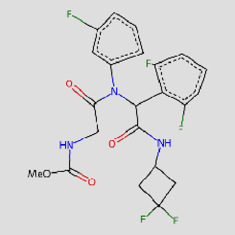 COC(=O)NCC(=O)N(c1cccc(F)c1)C(C(=O)NC1CC(F)(F)C1)c1c(F)cccc1F